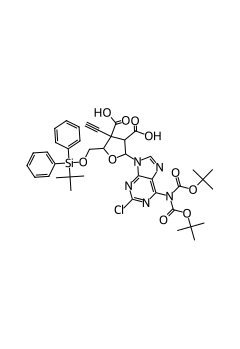 C#CC1(C(=O)O)C(CO[Si](c2ccccc2)(c2ccccc2)C(C)(C)C)OC(n2cnc3c(N(C(=O)OC(C)(C)C)C(=O)OC(C)(C)C)nc(Cl)nc32)C1C(=O)O